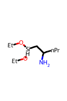 CCCC(N)C[SiH](OCC)OCC